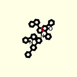 c1ccc(-c2ccc(-c3ccc(N(c4ccc(-c5cccc6ccccc56)cc4)c4ccccc4-c4cccc5c4oc4ccccc45)cc3)c(-n3c4ccccc4c4ccccc43)c2)cc1